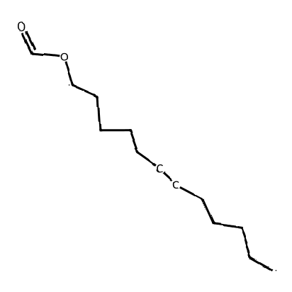 [CH2]CCCCCCCCCC[CH]OC=O